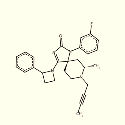 CC#CCN1CC[C@@]2(C[C@@H]1C)C(N1CCC1c1ccccc1)=NC(=O)N2c1cccc(F)c1